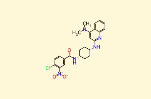 CN(C)c1cc(N[C@H]2CC[C@@H](NC(=O)c3ccc(Cl)c([N+](=O)[O-])c3)CC2)nc2ccccc12